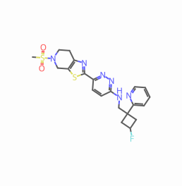 CS(=O)(=O)N1CCc2nc(-c3ccc(NCC4(c5ccccn5)CC(F)C4)nn3)sc2C1